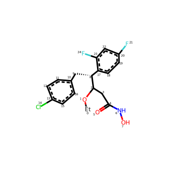 CCOC(CC(=O)NO)[C@H](Cc1ccc(Cl)cc1)c1ccc(F)cc1F